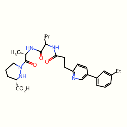 CCc1cccc(-c2ccc(CCC(=O)NC(C(=O)N[C@@H](C)C(=O)N3CCC[C@@H](C(=O)O)N3)C(C)C)nc2)c1